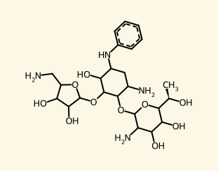 C[C@@H](O)C1OC(OC2C(N)CC(Nc3ccccc3)C(O)C2OC2OC(CN)C(O)C2O)C(N)C(O)C1O